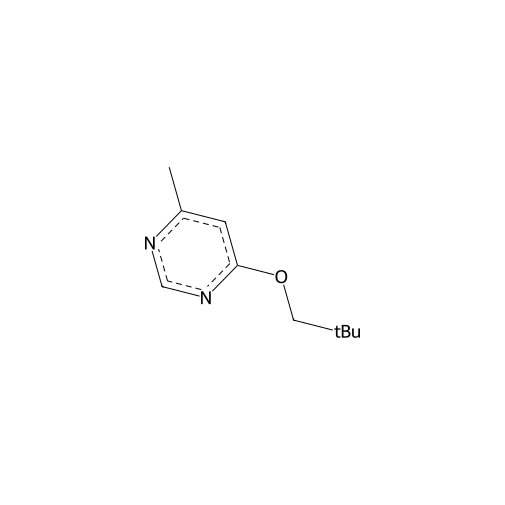 Cc1cc(OCC(C)(C)C)ncn1